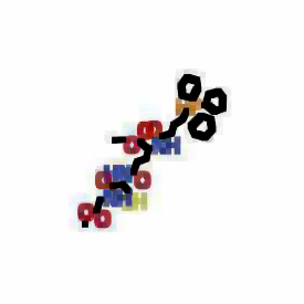 CCOC(=O)C(CCC(=O)NC(CS)C(=O)NCC(=O)OC)NC(=O)CCCC[PH](c1ccccc1)(c1ccccc1)c1ccccc1